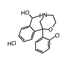 CC(O)c1ccccc1C1(c2ccccc2Cl)CNCCO1.Cl